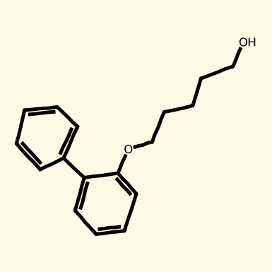 OCCCCCOc1ccccc1-c1ccccc1